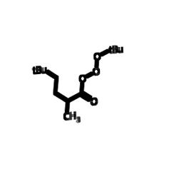 CC(CCC(C)(C)C)C(=O)OOOC(C)(C)C